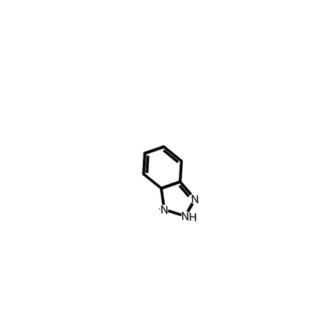 C1=CC2=NN[N]C2C=C1